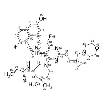 C#Cc1c(F)ccc2cc(O)cc(-c3ncc4c(N5CCC(C)(C)C[C@H](NC(=O)C=C)C5)nc(OCC5(CN6CCOCC6)CC5)nc4c3F)c12